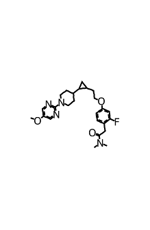 COc1cnc(N2CCC(C3CC3CCOc3ccc(CC(=O)N(C)C)c(F)c3)CC2)nc1